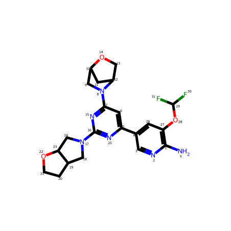 Nc1ncc(-c2cc(N3CC4CC3CO4)nc(N3CC4CCOC4C3)n2)cc1OC(F)F